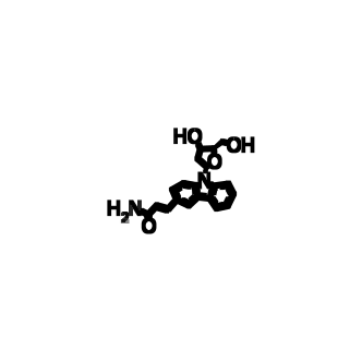 NC(=O)/C=C/c1ccc2c(c1)c1ccccc1n2[C@H]1CC(O)[C@@H](CO)O1